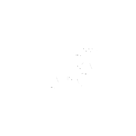 CNC(=O)c1cccc(C(=O)NCC2=CCC(C)C=C2)n1